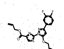 C=CCOC(=O)c1csc(-n2nc(-c3ccc(F)c(F)c3)cc2OCC=C)n1